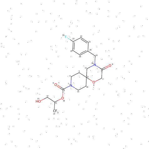 O=C1COC2(CCN(C(=O)OC(CO)C(F)(F)F)CC2)CN1Cc1ccc(F)cc1